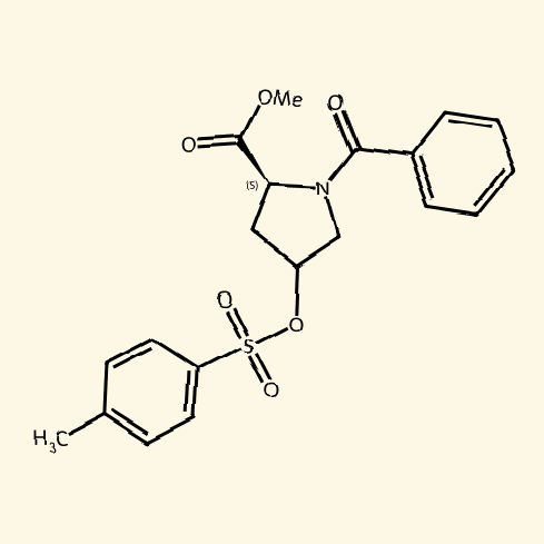 COC(=O)[C@@H]1CC(OS(=O)(=O)c2ccc(C)cc2)CN1C(=O)c1ccccc1